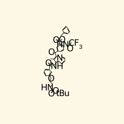 Cc1c(NC(=O)c2cccc(OCCNC(=O)OC(C)(C)C)c2)c2ccccn2c1C(=O)c1ccc(NC(=O)C(F)(F)F)c(C(=O)OCc2ccccc2)c1